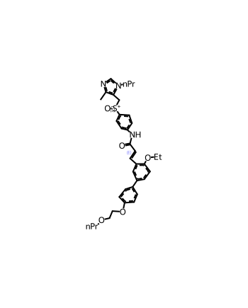 CCCOCCOc1ccc(-c2ccc(OCC)c(/C=C/C(=O)Nc3ccc([S@+]([O-])Cc4c(C)ncn4CCC)cc3)c2)cc1